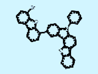 Brc1cccc2c1oc1c(-c3ccc4c(c3)c3c5sc6ccccc6c5ccc3n4-c3ccccc3)cccc12